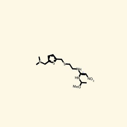 COC(C)N/C(=C\[N+](=O)[O-])NCCSCc1ccc(CN(C)C)s1